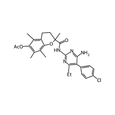 CCc1nc(NC(=O)C2(C)CCc3c(C)c(OC(C)=O)c(C)c(C)c3O2)nc(N)c1-c1ccc(Cl)cc1